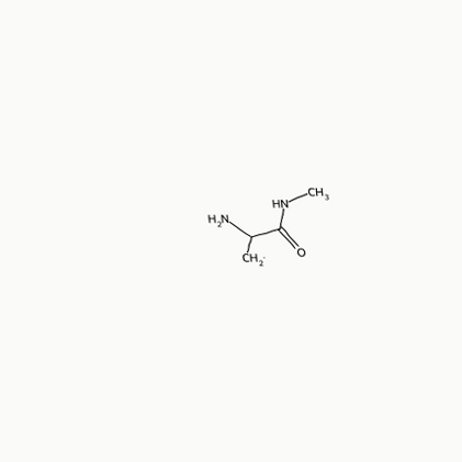 [CH2]C(N)C(=O)NC